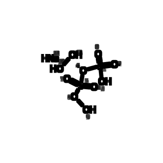 O=S(=O)(O)OS(=O)(=O)OO.OO.[NaH]